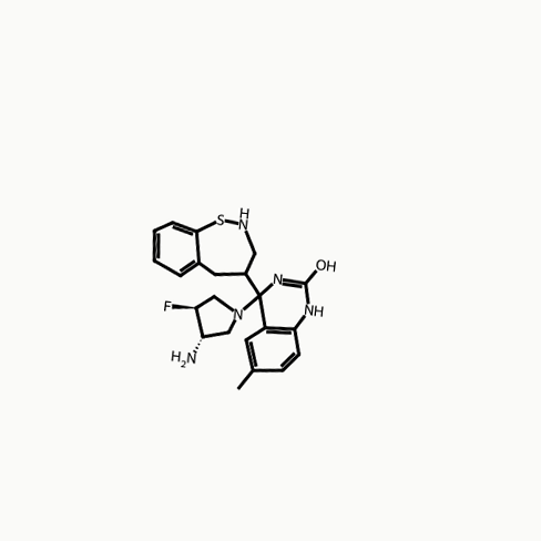 Cc1ccc2c(c1)C(C1CNSc3ccccc3C1)(N1C[C@H](N)[C@@H](F)C1)N=C(O)N2